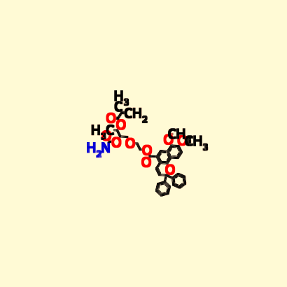 C=C(C)C(=O)OC(C)C(COCCOC(=O)c1cc2c(OC)c(OC)ccc2c2c1C=CC(c1ccccc1)(c1ccccc1)O2)OC(N)=O